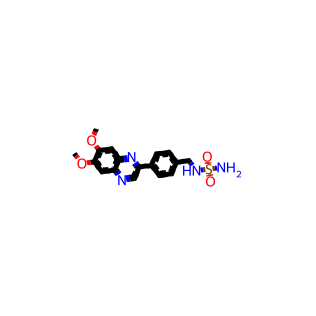 COc1cc2ncc(-c3ccc(CNS(N)(=O)=O)cc3)nc2cc1OC